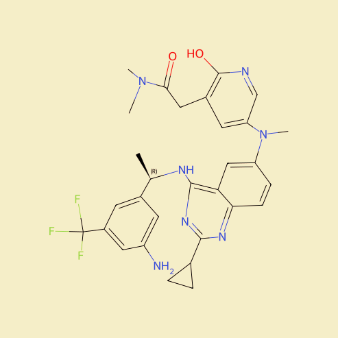 C[C@@H](Nc1nc(C2CC2)nc2ccc(N(C)c3cnc(O)c(CC(=O)N(C)C)c3)cc12)c1cc(N)cc(C(F)(F)F)c1